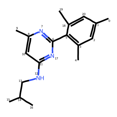 Cc1cc(C)c(-c2nc(C)cc(NCC(C)C)n2)c(C)c1